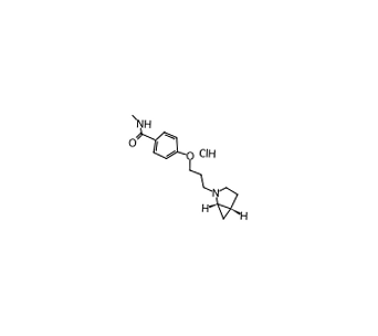 CNC(=O)c1ccc(OCCCN2CC[C@@H]3C[C@@H]32)cc1.Cl